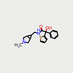 CN1CC2C(CNC(=O)C(O)(c3ccccc3)c3cccs3)C2C1